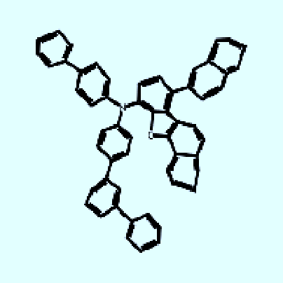 c1ccc(-c2ccc(N(c3ccc(-c4cccc(-c5ccccc5)c4)cc3)c3ccc(-c4ccc5ccccc5c4)c4c3oc3c5ccccc5ccc34)cc2)cc1